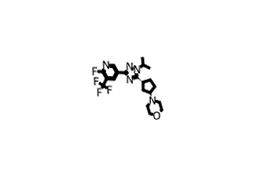 CC(C)n1nc(-c2cnc(F)c(C(F)(F)F)c2)nc1[C@@H]1CC[C@H](N2CCOCC2)C1